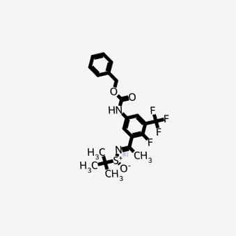 C/C(=N\[S+]([O-])C(C)(C)C)c1cc(NC(=O)OCc2ccccc2)cc(C(F)(F)F)c1F